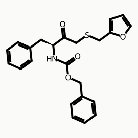 O=C(N[C@@H](Cc1ccccc1)C(=O)CSCc1ccco1)OCc1ccccc1